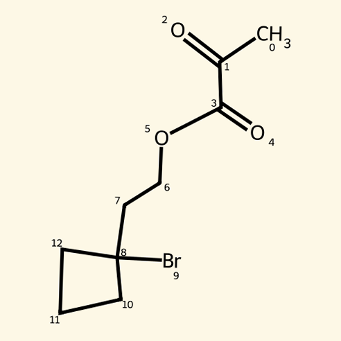 CC(=O)C(=O)OCCC1(Br)CCC1